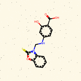 O=C(O)c1ccc(NCn2c(=S)oc3ccccc32)cc1O